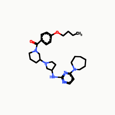 CCCCOc1ccc(C(=O)N2CCCC(N3CCC(Nc4nccc(N5CCCCCC5)n4)C3)C2)cc1